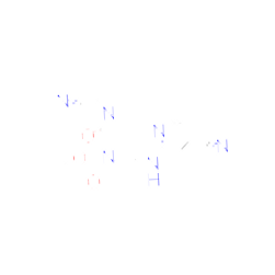 CC(C)(C)OC(=O)N1C[C@@H](Nc2cc(C#N)ccn2)C[C@H]1C(=O)N1CCC[C@H]1C#N